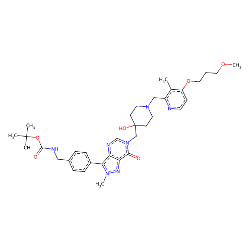 COCCCOc1ccnc(CN2CCC(O)(Cn3cnc4c(-c5ccc(CNC(=O)OC(C)(C)C)cc5)n(C)nc4c3=O)CC2)c1C